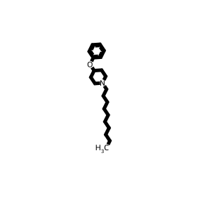 CCCCCCCCCCN1CCC(Oc2ccccc2)CC1